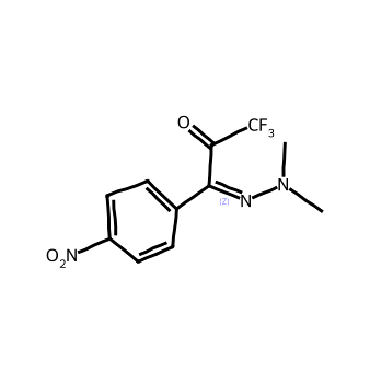 CN(C)/N=C(\C(=O)C(F)(F)F)c1ccc([N+](=O)[O-])cc1